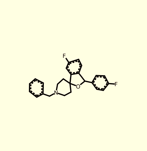 Fc1ccc(C2OC3(CCN(Cc4ccccc4)CC3)c3cc(F)ccc32)cc1